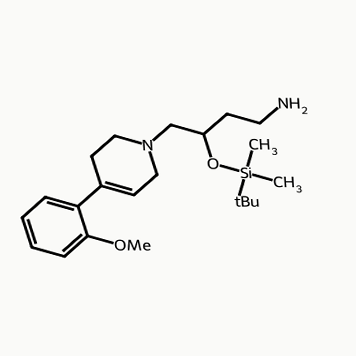 COc1ccccc1C1=CCN(CC(CCN)O[Si](C)(C)C(C)(C)C)CC1